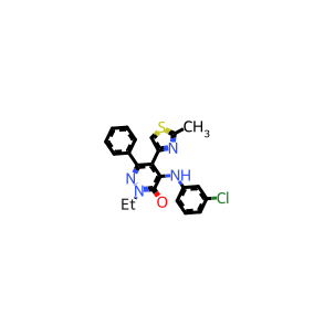 CCn1nc(-c2ccccc2)c(-c2csc(C)n2)c(Nc2cccc(Cl)c2)c1=O